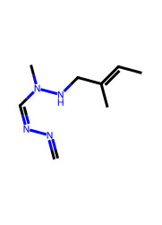 C=N/N=C\N(C)NC/C(C)=C/C